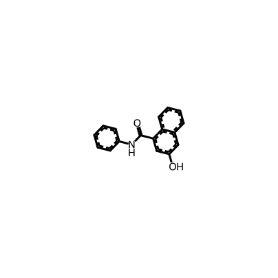 O=C(Nc1ccccc1)c1cc(O)cc2ccccc12